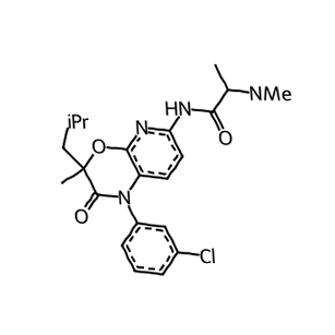 CNC(C)C(=O)Nc1ccc2c(n1)OC(C)(CC(C)C)C(=O)N2c1cccc(Cl)c1